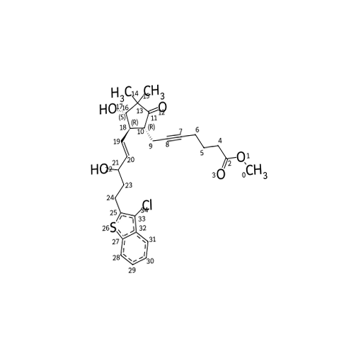 COC(=O)CCCC#CC[C@H]1C(=O)C(C)(C)[C@@H](O)[C@@H]1C=CC(O)CCc1sc2ccccc2c1Cl